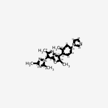 Cc1nc(C)n(-c2c(C)nn3c(-c4ccc(-n5ccnc5)cc4C)c(C)oc23)n1